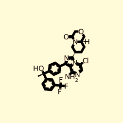 C[C@@](O)(c1ccc(-c2nc([C@H]3CC[C@@H]4COCC(=O)N4C3)n3c(Cl)cnc(N)c23)cc1)c1cccc(C(F)(F)F)c1